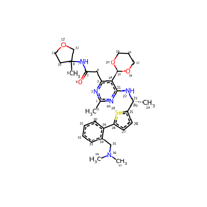 Cc1nc(CC(=O)NC2(C)CCOC2)c(C2OCCCO2)c(N[C@H](C)c2ccc(-c3ccccc3CN(C)C)s2)n1